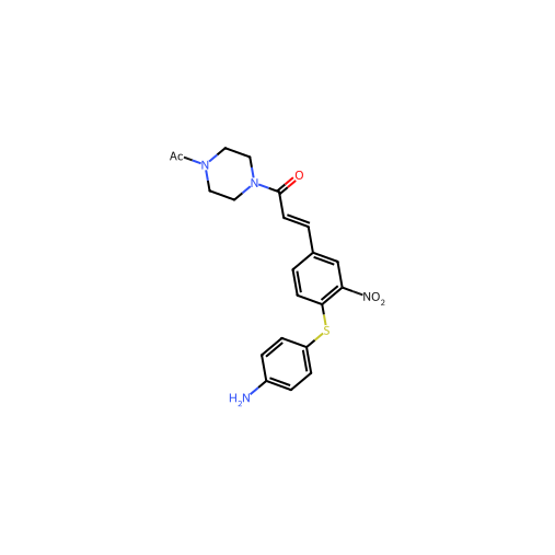 CC(=O)N1CCN(C(=O)C=Cc2ccc(Sc3ccc(N)cc3)c([N+](=O)[O-])c2)CC1